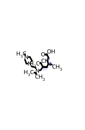 C=C(C)\C(=C/C(=C\C)/C=C/C(=O)O)CN(CCN1CCN(C)CC1)C(=C)C